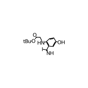 CC(C)(C)OC(=O)CNc1ccc(O)cc1C(=N)I